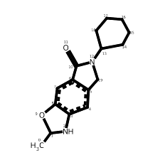 CC1Nc2cc3c(cc2O1)C(=O)N(C1CCCCC1)C3